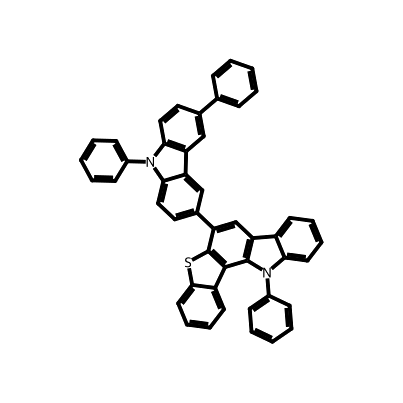 c1ccc(-c2ccc3c(c2)c2cc(-c4cc5c6ccccc6n(-c6ccccc6)c5c5c4sc4ccccc45)ccc2n3-c2ccccc2)cc1